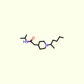 CCCCC(C)N1CCC(CC(=O)NC(C)C)CC1